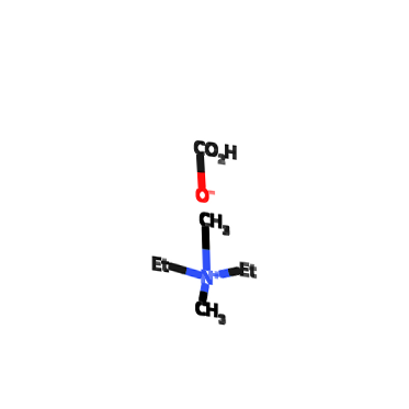 CC[N+](C)(C)CC.O=C([O-])O